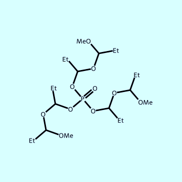 CCC(OC)OC(CC)OP(=O)(OC(CC)OC(CC)OC)OC(CC)OC(CC)OC